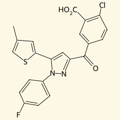 Cc1csc(-c2cc(C(=O)c3ccc(Cl)c(C(=O)O)c3)nn2-c2ccc(F)cc2)c1